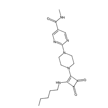 CCCCCNc1c(N2CCN(c3ncc(C(=O)NC)cn3)CC2)c(=O)c1=O